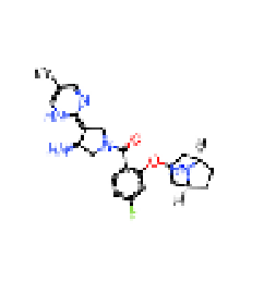 CC(C)C1=CN/C(=C2/CN(C(=O)c3ccc(F)cc3O[C@H]3C[C@H]4CC[C@@H](C3)N4)CC2=N)N=C1